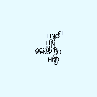 CNC(=O)[C@H](CCCc1ccccc1)NC(=O)C1CN(C(=O)Cc2c[nH]c3cc(Cl)ccc23)CC2CN(C(=O)c3ccc4[nH]c(=O)oc4c3)CC21